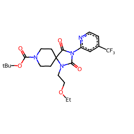 CCOCCN1C(=O)N(c2cc(C(F)(F)F)ccn2)C(=O)C12CCN(C(=O)OC(C)(C)C)CC2